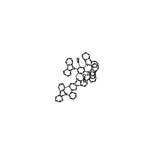 N#Cc1c(Cn2c3cc(-c4cccc5c6ccccc6n(-c6ccccc6)c45)ccc3c3ccc4c5ccccc5oc4c32)c(-n2c3ccccc3c3ccccc32)c(C#N)c(-n2c3ccccc3c3ccccc32)c1-n1c2ccccc2c2ccccc21